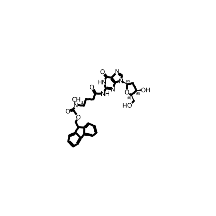 CN(CCCC(=O)Nc1nc2c(ncn2[C@H]2C[C@@H](O)[C@@H](CO)O2)c(=O)[nH]1)C(=O)OCC1c2ccccc2-c2ccccc21